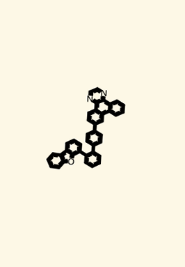 c1ccc(-c2cccc3c2oc2ccccc23)c(-c2ccc(-c3ccc4c(c3)c3ccccc3c3nccnc43)cc2)c1